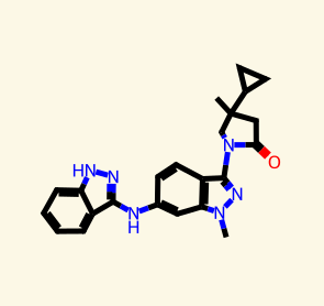 Cn1nc(N2CC(C)(C3CC3)CC2=O)c2ccc(Nc3n[nH]c4ccccc34)cc21